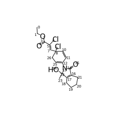 CCOC(=O)C(Cl)=CC1(Cl)C=CC(N2C(=O)C3=C(CCCC3)C2(C)O)=CC1